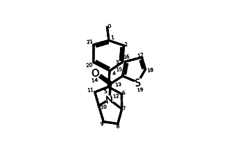 Cc1ccc(C2CC3CCC(C2)N3C(=O)c2cccs2)cc1